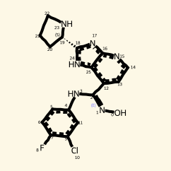 O/N=C(/Nc1ccc(F)c(Cl)c1)c1ccnc2nc([C@@H]3CCCN3)[nH]c12